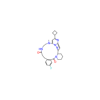 CN1CCNC(=O)CCc2ccc(F)cc2C(=O)N2CCCCC2c2cc3nc(C4CCC4)cc1n3n2